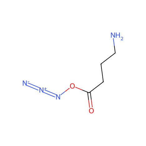 [N-]=[N+]=NOC(=O)CCCN